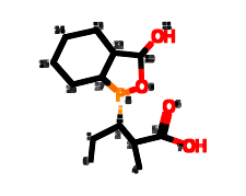 CCC(C(C)C(=O)O)[P@@]1OC(O)C2CCCCC21